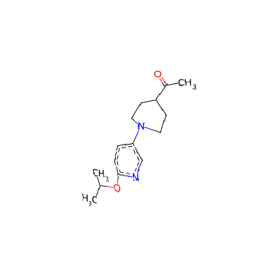 CC(=O)C1CCN(c2ccc(OC(C)C)nc2)CC1